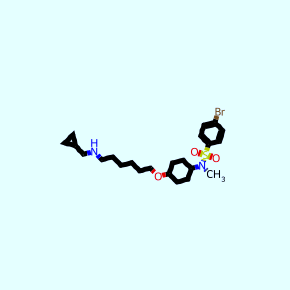 CN(C1CCC(OCCCCCCNCC2CC2)CC1)S(=O)(=O)c1ccc(Br)cc1